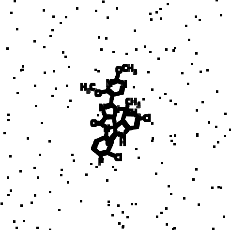 COc1ncc(-c2nc3c(n2C(C)C)[C@]2(C(=O)Nc4cc(Cl)ccc42)N(c2ccc(F)c(Cl)c2)C3=O)c(OC)n1